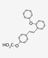 O=C(O)Oc1ccc(C=Cc2ccccc2Oc2ccccc2)cc1